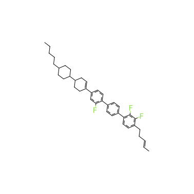 C/C=C/CCc1ccc(-c2ccc(-c3ccc(C4=CCC(C5CCC(CCCCC)CC5)CC4)cc3F)cc2)c(F)c1F